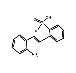 Nc1ccccc1/C=C/c1ccccc1P(=O)(O)O